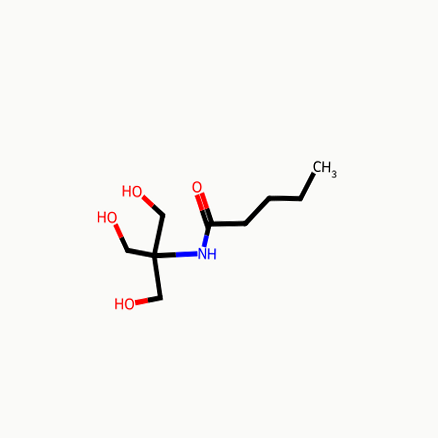 CCCCC(=O)NC(CO)(CO)CO